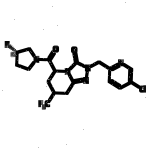 O=C(C1CC(C(F)(F)F)Cc2nn(Cc3ccc(Cl)cn3)c(=O)n21)N1CC[C@H](F)C1